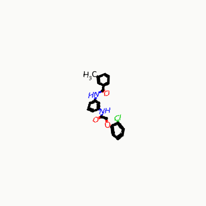 Cc1cccc(C(=O)Nc2cccc(NC(=O)COc3ccccc3Cl)c2)c1